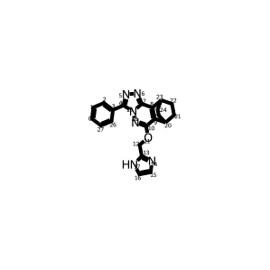 c1ccc(-c2nnc3c4c(c(OCc5ncc[nH]5)nn23)C2CCC4CC2)cc1